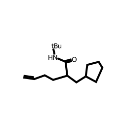 C=CCCC(CC1CCCC1)C(=O)NC(C)(C)C